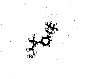 CC(C)(C)OC(=O)C1C(c2cccc(B3OC(C)(C)C(C)(C)O3)c2)C1(C)C